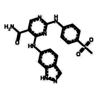 CS(=O)(=O)c1ccc(Nc2ncc(C(N)=O)c(Nc3ccc4cn[nH]c4c3)n2)cc1